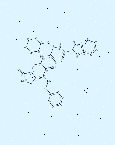 O=C(NCc1ccccc1)C(=O)C(C[C@@H]1CCNC1=O)NC(=O)[C@H](CC1CCCCC1)NC(=O)c1cc2ccccc2s1